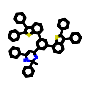 CC1(c2ccccc2)N=C(c2cc(-c3cccc4c(-c5ccccc5)c(-c5ccccc5)sc34)cc(-c3cccc4c(-c5ccccc5)c(-c5ccccc5)sc34)c2)C=C(c2ccccc2)N1